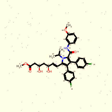 COC(=O)C[C@H](O)C[C@H](O)/C=C/c1c(-c2ccc(F)cc2)c(-c2ccc(F)cc2)c(C(=O)Nc2cccc(OC)c2)n1C(C)C